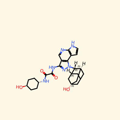 O=C(Nc1nn([C@H]2[C@@H]3CC4C[C@H]2C[C@@](O)(C4)C3)c2c1cnc1[nH]ccc12)C(=O)N[C@H]1CC[C@H](O)CC1